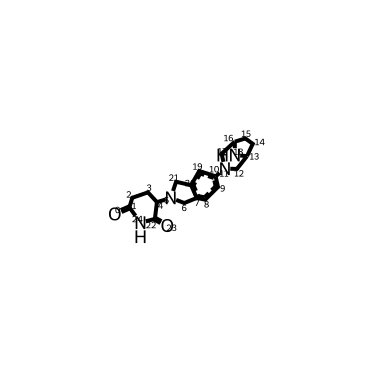 O=C1CCC(N2Cc3ccc(N4CC5CCC(C4)N5)cc3C2)C(=O)N1